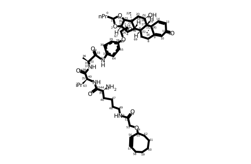 CCCC1O[C@@H]2C[C@H]3[C@@H]4CCC5=CC(=O)C=C[C@]5(C)[C@H]4[C@@H](O)C[C@]3(C)[C@]2(C(=O)COc2ccc(NC(=O)[C@H](C)NC(=O)[C@@H](NC(=O)[C@H](N)CCCCNC(=O)COC3C#CCCCCC3)C(C)C)cc2)O1